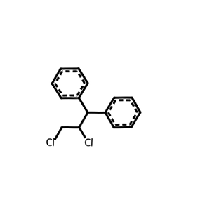 ClCC(Cl)C(c1ccccc1)c1ccccc1